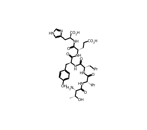 CC(C)C[C@H](NC(=O)[C@@H](NC(=O)[C@@H](N)[C@@H](C)O)C(C)C)C(=O)N[C@@H](Cc1ccc(O)cc1)C(=O)N[C@@H](CCC(=O)O)C(=O)N[C@@H](Cc1c[nH]cn1)C(=O)O